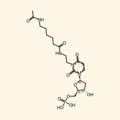 CC(=O)NCCCCCC(=O)NCCn1c(=O)ccn([C@H]2C[C@H](O)[C@@H](COP(=O)(O)O)O2)c1=O